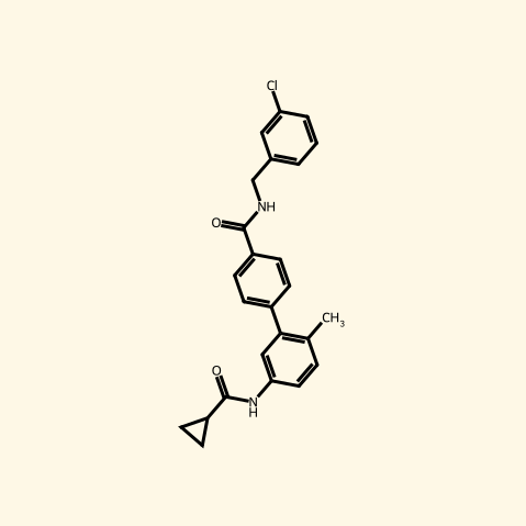 Cc1ccc(NC(=O)C2CC2)cc1-c1ccc(C(=O)NCc2cccc(Cl)c2)cc1